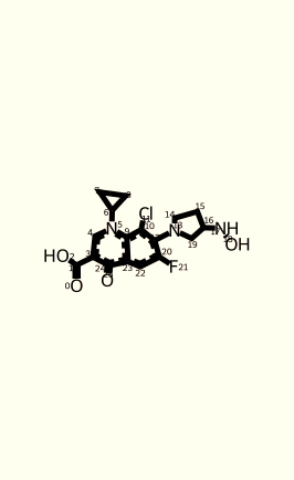 O=C(O)c1cn(C2CC2)c2c(Cl)c(N3CCC(NO)C3)c(F)cc2c1=O